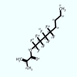 C=C(C)C(=O)OC(F)(F)C(F)(F)C(F)(F)C(F)(F)CCCC